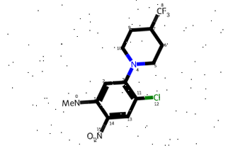 CNc1cc(N2CCC(C(F)(F)F)CC2)c(Cl)cc1[N+](=O)[O-]